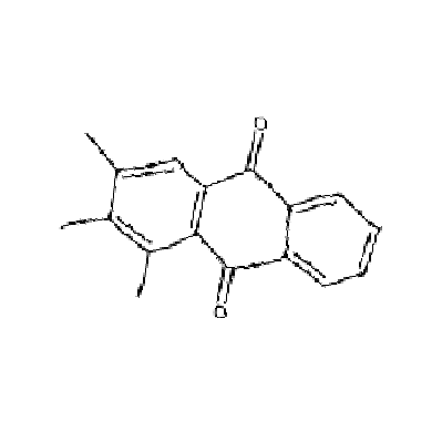 Cc1cc2c(c(C)c1C)C(=O)c1ccccc1C2=O